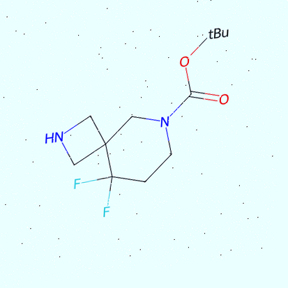 CC(C)(C)OC(=O)N1CCC(F)(F)C2(CNC2)C1